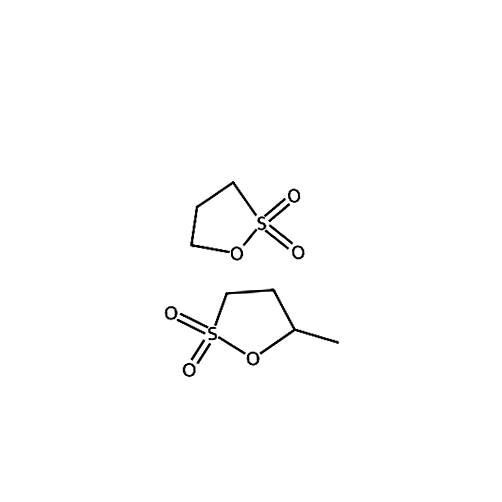 CC1CCS(=O)(=O)O1.O=S1(=O)CCCO1